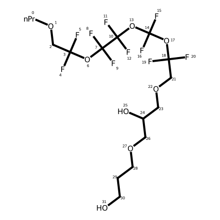 CCCOCC(F)(F)OC(F)(F)C(F)(F)OC(F)(F)OC(F)(F)COCC(O)COCCCO